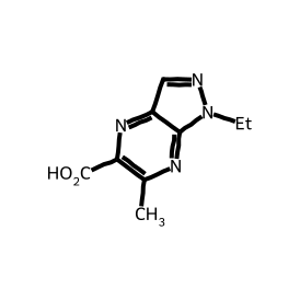 CCn1ncc2nc(C(=O)O)c(C)nc21